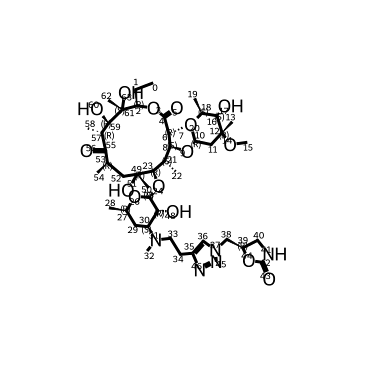 CC[C@H]1OC(=O)[C@H](C)[C@@H](O[C@H]2C[C@@](C)(OC)[C@@H](O)[C@H](C)O2)[C@H](C)[C@@H](O[C@@H]2O[C@H](C)C[C@H](N(C)CCc3cn(C[C@H]4CNC(=O)O4)nn3)[C@H]2O)[C@](C)(O)C[C@@H](C)C(=O)[C@H](C)[C@@H](O)[C@]1(C)O